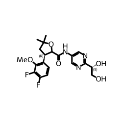 COc1c([C@H]2CC(C)(C)OC2C(=O)Nc2cnc([C@H](O)CO)nc2)ccc(F)c1F